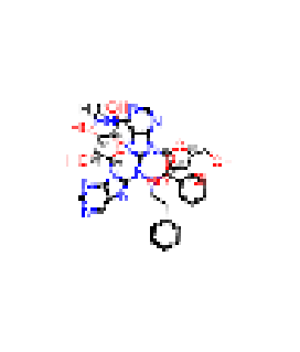 CNc1ncnc2c1nc(N(c1nc3cncnc3n1[C@@H]1O[C@H](CO)[C@@H](O)[C@H]1O)N(CCc1ccccc1)C(=O)c1ccccc1)n2[C@H]1O[C@@H](CO)[C@H](O)[C@@H]1O